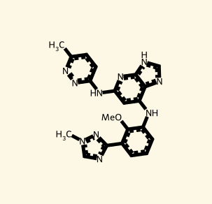 COc1c(Nc2cc(Nc3ccc(C)nn3)nc3[nH]cnc23)cccc1-c1ncn(C)n1